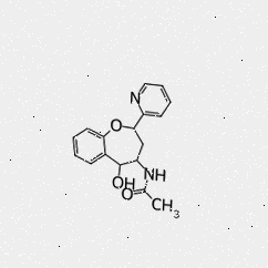 CC(=O)NC1CC(c2ccccn2)Oc2ccccc2C1O